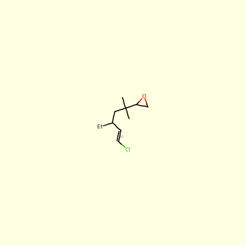 CCC(/C=C/Cl)CC(C)(C)C1CO1